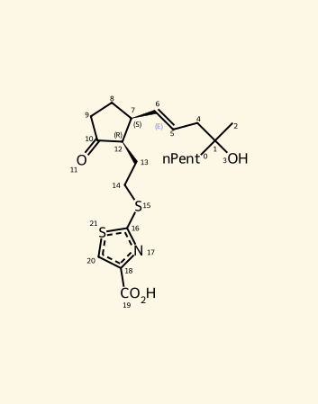 CCCCCC(C)(O)C/C=C/[C@@H]1CCC(=O)[C@@H]1CCSc1nc(C(=O)O)cs1